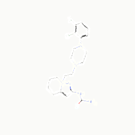 NC(=O)NC1=N[N+]2(CCN3CCN(c4cccc(Cl)c4Cl)CC3)CCCCC2=C1